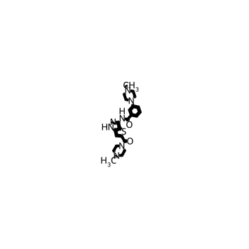 CN1CCN(C(=O)c2cc3[nH]nc(NC(=O)c4cccc(N5CCN(C)CC5)c4)c3s2)CC1